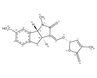 CC1=C[C@@H](OC=C2C(=O)N(C)[C@H]3c4cc(C(=O)O)ccc4C[C@H]23)OC1=O